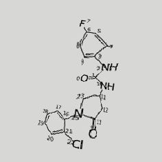 O=C(Nc1ccc(F)cc1)NC1CC(=O)N(c2ccccc2Cl)C1